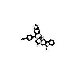 N#Cc1ccc(C(c2ccc3c(c2)OCO3)N2CC(=O)N3Cc4[nH]c5ccccc5c4C[C@@H]3C2=O)cc1